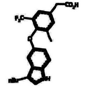 CCCCc1c[nH]c2ccc(Oc3c(C)cc(CC(=O)O)cc3C(F)(F)F)cc12